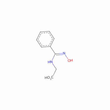 O=C(O)CNC(=NO)c1ccccc1